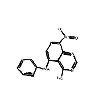 O=[N+]([O-])c1ccc(Nc2ccccc2)c2c(O)ncnc12